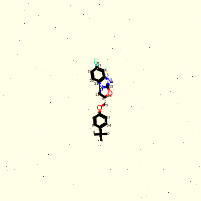 CC(C)(C)c1ccc(OC[C@@H]2Cn3c(nc4cc(F)ccc43)O2)cc1